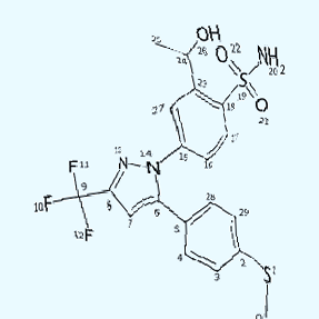 CSc1ccc(-c2cc(C(F)(F)F)nn2-c2ccc(S(N)(=O)=O)c(C(C)O)c2)cc1